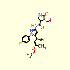 C/C(=C\C(c1cc(NC(=O)C2CNC(=O)[C@@H]2CI)nn1-c1ccc(F)cc1)C(C)C)OCC(F)(F)F